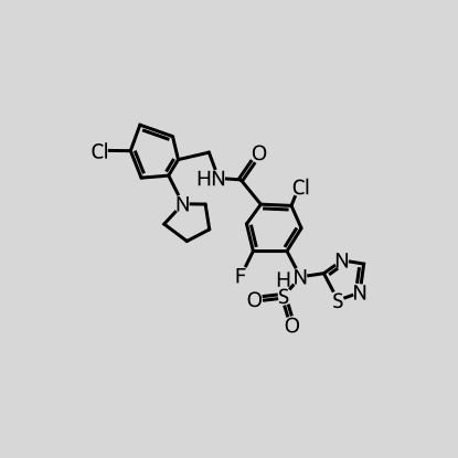 O=C(NCc1ccc(Cl)cc1N1CCCC1)c1cc(F)c(N(c2ncns2)[SH](=O)=O)cc1Cl